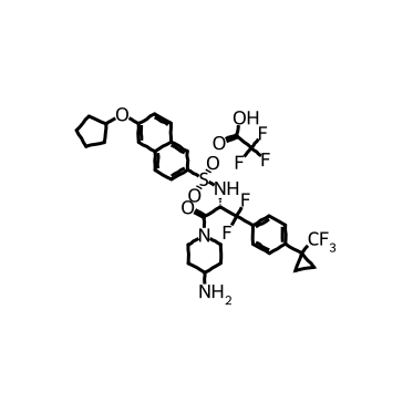 NC1CCN(C(=O)[C@H](NS(=O)(=O)c2ccc3cc(OC4CCCC4)ccc3c2)C(F)(F)c2ccc(C3(C(F)(F)F)CC3)cc2)CC1.O=C(O)C(F)(F)F